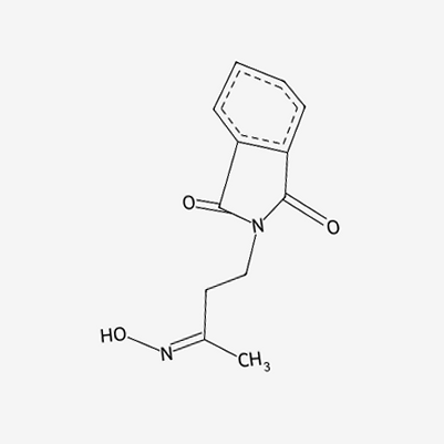 C/C(CCN1C(=O)c2ccccc2C1=O)=N/O